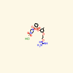 Cc1cc(OCCCONC(=N)N)cc(OS(=O)(=O)c2ccccc2S(=O)(=O)N2CCN(S(C)(=O)=O)CC2)c1.Cl